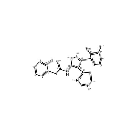 O=C(Cc1ccccc1Cl)Nc1onc(-c2cccc(F)c2F)c1-c1ccncn1